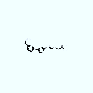 CCCCC(N)CNC=Nc1nc(-c2ccc(CNC(C)=O)o2)cs1